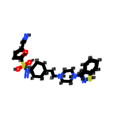 N#Cc1ccc(S(=O)(=O)N[C@H]2CC[C@H](CCN3CCN(c4nsc5ccccc45)CC3)CC2)o1